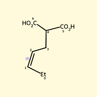 CC/C=C\CC(C(=O)O)C(=O)O